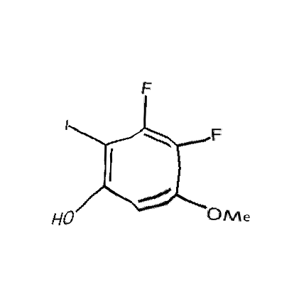 COc1cc(O)c(I)c(F)c1F